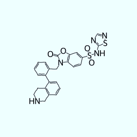 O=c1oc2cc(S(=O)(=O)Nc3ncns3)ccc2n1Cc1ccccc1-c1cccc2c1CCNC2